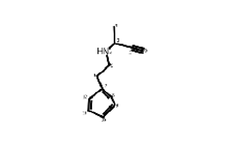 C#CC(C)NCCc1ccccc1